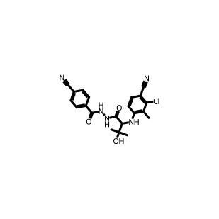 Cc1c(NC(C(=O)NNC(=O)c2ccc(C#N)cc2)C(C)(C)O)ccc(C#N)c1Cl